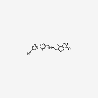 Cc1c(CCNCc2ccc(-n3cc(C#N)cn3)nc2)ccc2c1COC2=O